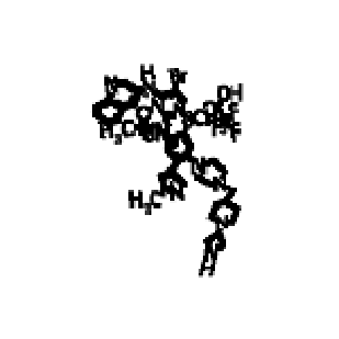 COc1cc(N2CCN(CC3CCN(C4CNC4)CC3)CC2)c(-c2cnn(C)c2)cc1Nc1ncc(Br)c(Nc2cnc3ccccc3c2OP(C)C)n1.O=C(O)C(F)(F)F